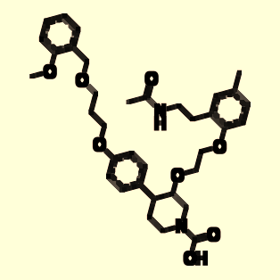 COc1ccccc1COCCCOc1ccc(C2CCN(C(=O)O)CC2OCCOc2ccc(C)cc2CCNC(C)=O)cc1